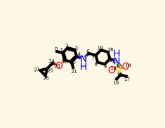 Cc1ccc(NCC2CCC(NS(=O)(=O)C(C)C)CC2)c(C)c1OCC1CC1